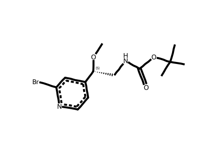 CO[C@H](CNC(=O)OC(C)(C)C)c1ccnc(Br)c1